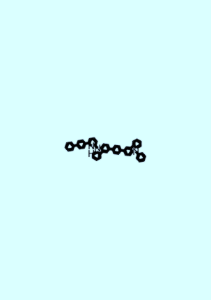 C1=CC(n2c3ccccc3c3cc(-c4ccc(-c5ccc6c(c5)c5ccccc5n6-c5ccccc5)cc4)ccc32)NC(c2ccc(-c3ccccc3)cc2)=C1